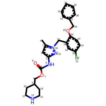 Cc1cc(NC(=O)OCC2CCNCC2)nn1Cc1cc(Br)ccc1OCc1ccccc1